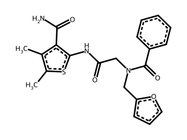 Cc1sc(NC(=O)CN(Cc2ccco2)C(=O)c2ccccc2)c(C(N)=O)c1C